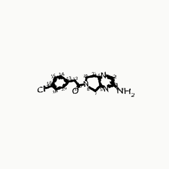 Nc1cnc2c(n1)CCN(C(=O)Cc1ccc(Cl)cc1)CC2